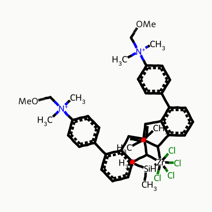 COC[N+](C)(C)c1ccc(-c2cccc3c2C=C(C)[CH]3[Zr]([Cl])([Cl])([Cl])([Cl])([CH]2C(C)=Cc3c(-c4ccc([N+](C)(C)COC)cc4)cccc32)[SiH](C)C)cc1